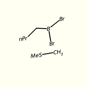 CCCCB(Br)Br.CSC